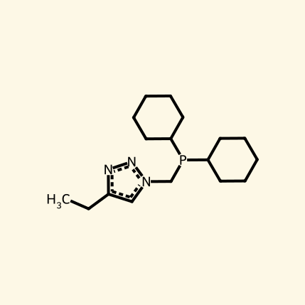 CCc1cn(CP(C2CCCCC2)C2CCCCC2)nn1